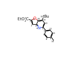 CCOC(=O)c1cc2nc(-c3ccc(C)cc3)cc(C(C)(C)C)c2o1